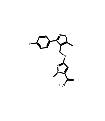 Cc1onc(-c2ccc(F)cc2)c1COc1cc(C(N)=O)n(C)n1